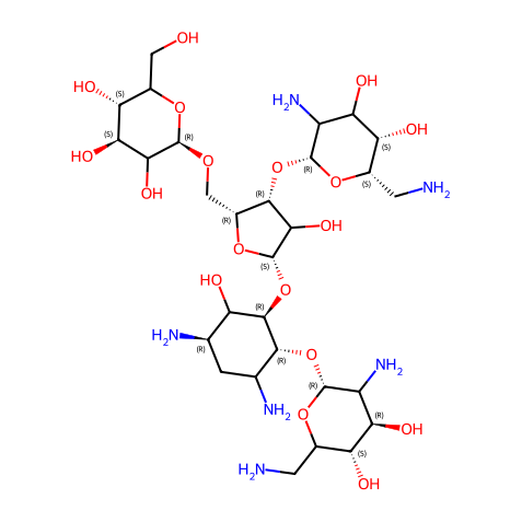 NCC1O[C@H](O[C@@H]2C(N)C[C@@H](N)C(O)[C@H]2O[C@@H]2O[C@H](CO[C@@H]3OC(CO)[C@@H](O)[C@H](O)C3O)[C@H](O[C@H]3O[C@@H](CN)[C@@H](O)C(O)C3N)C2O)C(N)[C@@H](O)[C@@H]1O